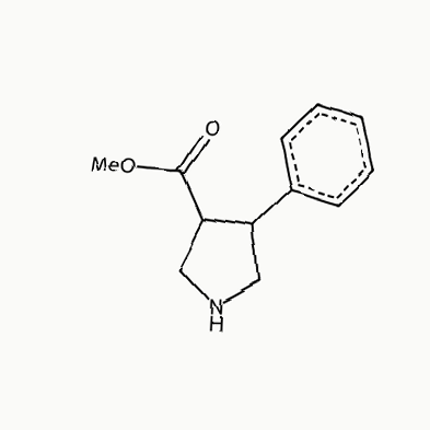 COC(=O)C1CNCC1c1ccccc1